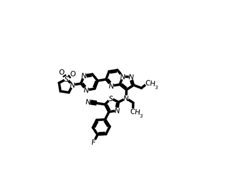 CCc1nn2ccc(-c3cnc(N4CCCS4(=O)=O)nc3)nc2c1N(CC)c1nc(-c2ccc(F)cc2)c(C#N)s1